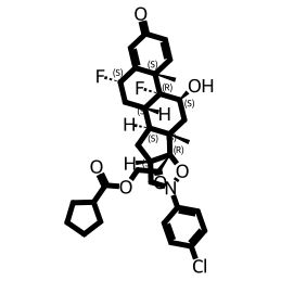 C[C@]12C=CC(=O)C=C1[C@@H](F)C[C@H]1[C@@H]3C[C@H]4CN(c5ccc(Cl)cc5)O[C@@]4(C(=O)COC(=O)C4CCCC4)[C@@]3(C)C[C@H](O)[C@@]12F